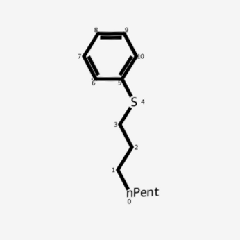 CCCCCCCCSc1[c]cccc1